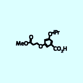 COC(=O)CCOc1cc(OC(C)C)cc(C(=O)O)c1